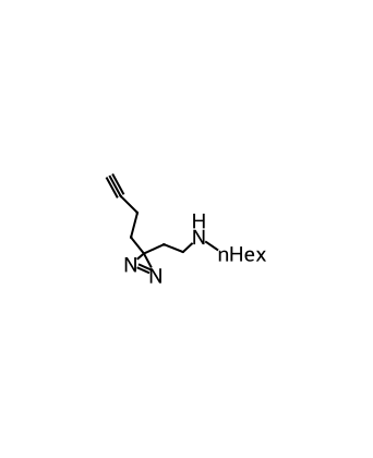 C#CCCC1(CCNCCCCCC)N=N1